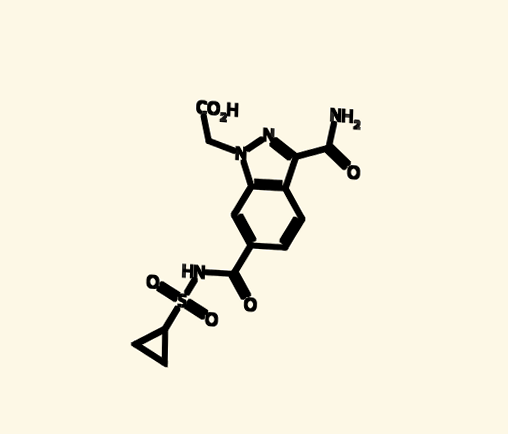 NC(=O)c1nn(CC(=O)O)c2cc(C(=O)NS(=O)(=O)C3CC3)ccc12